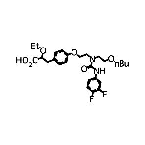 CCCCOCCN(CCOc1ccc(CC(OCC)C(=O)O)cc1)C(=O)Nc1ccc(F)c(F)c1